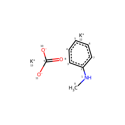 CNc1ccccc1.O=C([O-])[O-].[K+].[K+]